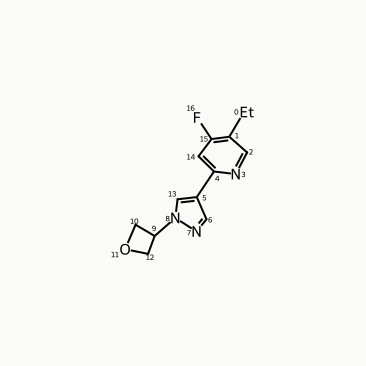 CCc1cnc(-c2cnn(C3COC3)c2)cc1F